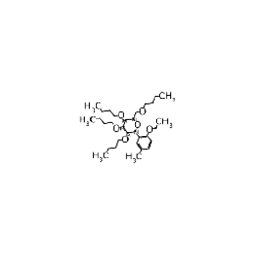 CCCCOC[C@H]1O[C@@H](c2cc(C)ccc2OCC)[C@H](OCCCC)[C@@H](OCCCC)[C@@H]1OCCCC